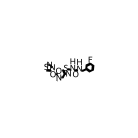 CN(Cc1csc(NC(=O)NCc2cccc(F)c2)n1)C(=O)Oc1csnn1